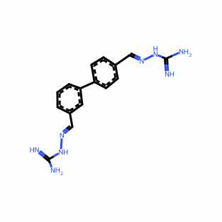 N=C(N)N/N=C/c1ccc(-c2cccc(/C=N/NC(=N)N)c2)cc1